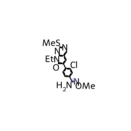 CCn1c(=O)c(-c2ccc(/C(N)=N/OC)cc2Cl)cc2cnc(SC)nc21